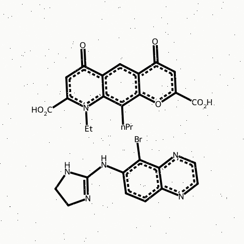 Brc1c(NC2=NCCN2)ccc2nccnc12.CCCc1c2oc(C(=O)O)cc(=O)c2cc2c(=O)cc(C(=O)O)n(CC)c12